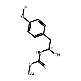 CC(C)Oc1ccc(C[C@@H](C#N)NC(=O)OC(C)(C)C)cc1